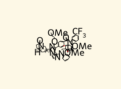 COCCOc1cc(C(=O)Nc2cccc(C(F)(F)F)c2)ccc1-c1nc([C@@H]2CC[C@H]3CCC(=O)N3C2)n2ccnc(N(Cc3ccc(OC)cc3OC)c3ccccc3)c12